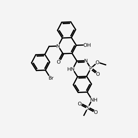 COP1(=O)N=C(c2c(O)c3ccccc3n(Cc3cccc(Br)c3)c2=O)Nc2ccc(NS(C)(=O)=O)cc21